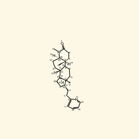 CN1C(=O)CC[C@]2(C)[C@H]3CC[C@]4(C)[C@@H](CCc5ccccn5)CC[C@H]4[C@@H]3CC[C@@H]12